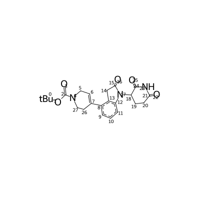 CC(C)(C)OC(=O)N1CC=C(c2cccc3c2CC(=O)N3C2CCC(=O)NC2=O)CC1